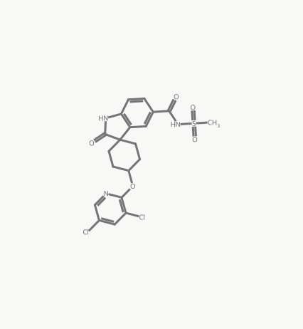 CS(=O)(=O)NC(=O)c1ccc2c(c1)C1(CCC(Oc3ncc(Cl)cc3Cl)CC1)C(=O)N2